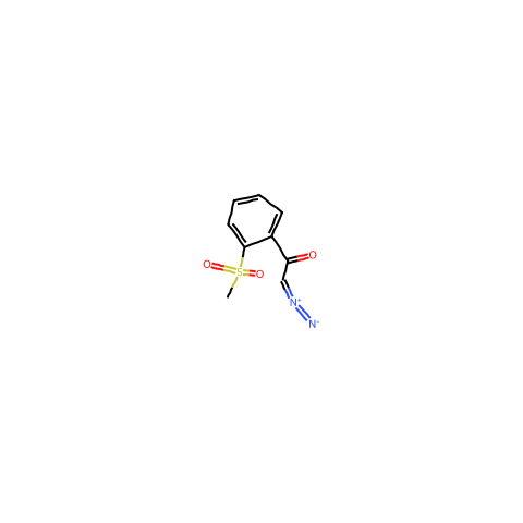 CS(=O)(=O)c1ccccc1C(=O)C=[N+]=[N-]